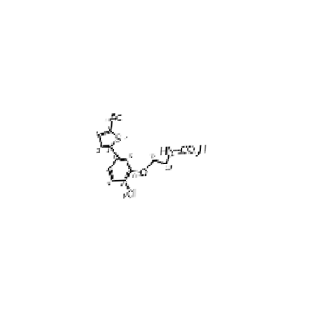 CC(=O)c1ccc(-c2ccc(Cl)c(OCCNC(=O)O)c2)s1